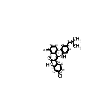 CN(C)Cc1ccc(NC(=C2C(=O)Nc3cc(Cl)ccc32)c2cccc(I)c2)cc1